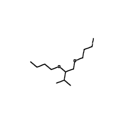 CCCCOCC(OCCCC)C(C)C